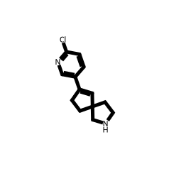 Clc1ccc(C2=CC3(CCNC3)CC2)cn1